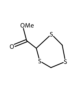 COC(=O)C1SCSCS1